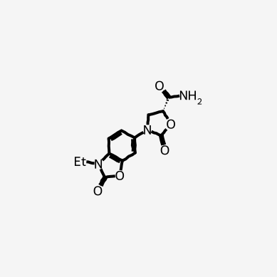 CCn1c(=O)oc2cc(N3C[C@H](C(N)=O)OC3=O)ccc21